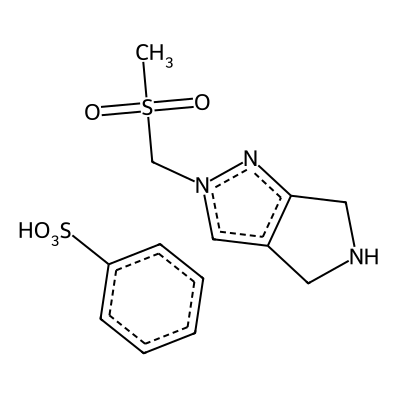 CS(=O)(=O)Cn1cc2c(n1)CNC2.O=S(=O)(O)c1ccccc1